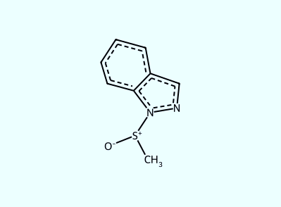 C[S+]([O-])n1ncc2ccccc21